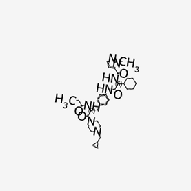 CCC(=O)N[C@H](Cc1ccc(NC(=O)[C@@H](NC(=O)c2ccnn2C)C2CCCCC2)cc1)C(=O)N1CCN(CC2CC2)CC1